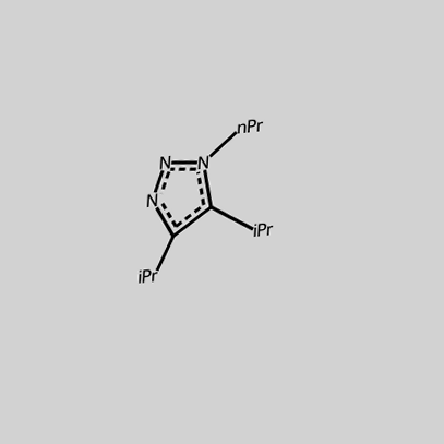 CCCn1nnc(C(C)C)c1C(C)C